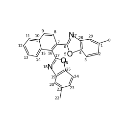 Cc1ccc2oc(-c3ccc4ccccc4c3-c3nc4cc(C)ccc4o3)nc2c1